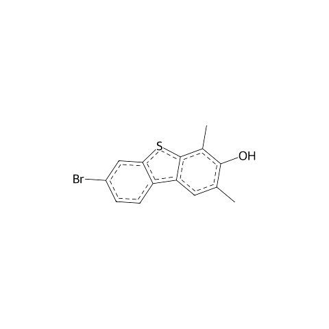 Cc1cc2c(sc3cc(Br)ccc32)c(C)c1O